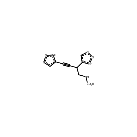 O=C(O)NCC(C#Cc1cnn[nH]1)c1cnn[nH]1